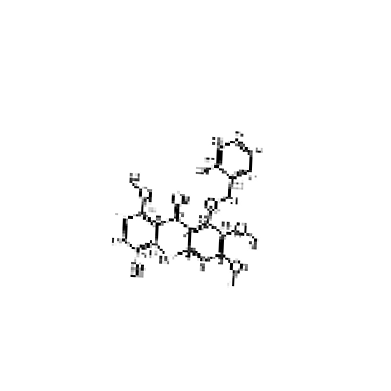 COc1cc(C)c(C(=O)c2c(OC)ccc(Br)c2C)c(OCc2ccccc2F)c1OC